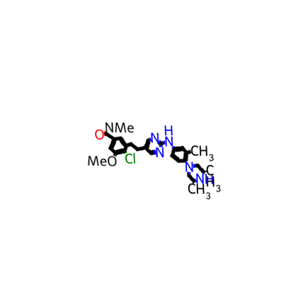 CNC(=O)c1cc(CCc2cnc(Nc3ccc(N4C[C@@H](C)N[C@@H](C)C4)c(C)c3)nc2)c(Cl)c(OC)c1